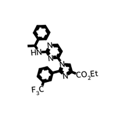 CCOC(=O)c1cn(-c2ccnc(NC(C)c3ccccc3)n2)c(-c2cccc(C(F)(F)F)c2)n1